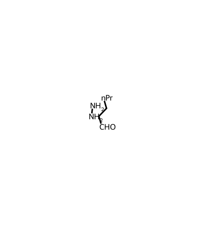 CCCCCC=O.NN